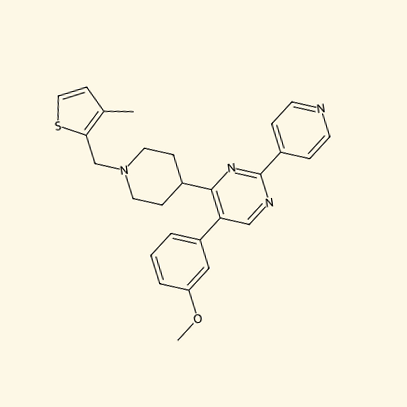 COc1cccc(-c2cnc(-c3ccncc3)nc2C2CCN(Cc3sccc3C)CC2)c1